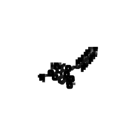 CC1=C(C(=O)OCCCC(F)(F)C(F)(F)C(F)(F)C(F)(F)C(F)(F)C(F)(F)F)C(c2cccc([N+](=O)[O-])c2)C(C(=O)OCCN(C)C)=C(C)N1